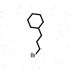 Br[CH]CCC1CCCCC1